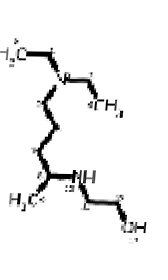 CCN(CC)CCCC(C)NCCO